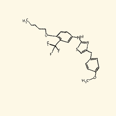 CCCCCOc1ccc(Nc2nc(Cc3ccc(OC)cc3)cs2)cc1C(F)(F)F